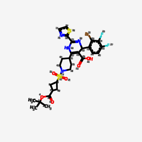 CC(C)(C)OC(=O)C1CC(S(=O)(=O)N2CCC(C3=C(C(=O)O)C(c4ccc(F)c(F)c4Br)N=C(c4nccs4)N3)CC2)C1